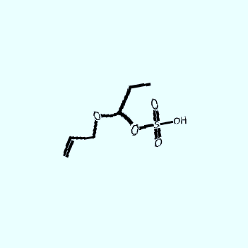 C=CCOC(CC)OS(=O)(=O)O